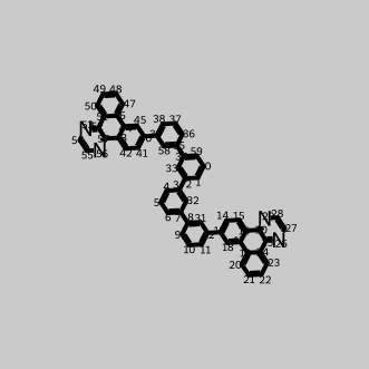 c1cc(-c2cccc(-c3cccc(-c4ccc5c(c4)c4ccccc4c4nccnc54)c3)c2)cc(-c2cccc(-c3ccc4c(c3)c3ccccc3c3nccnc43)c2)c1